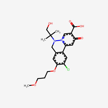 COCCCOc1cc2c(cc1Cl)-c1cc(=O)c(C(=O)O)cn1N(C(C)(C)CO)C2